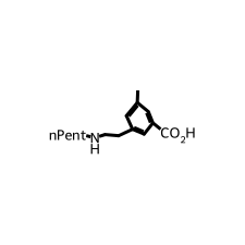 CCCCCNCCc1cc(C)cc(C(=O)O)c1